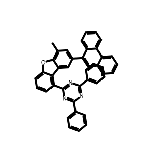 Cc1cc(-c2cc3ccccc3c3ccccc23)cc2c1oc1cccc(-c3nc(-c4ccccc4)nc(-c4ccccc4)n3)c12